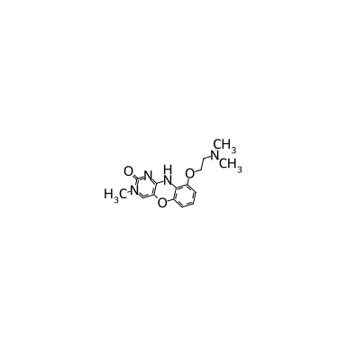 CN(C)CCOc1cccc2c1Nc1nc(=O)n(C)cc1O2